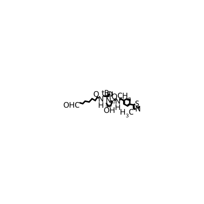 Cc1ncsc1-c1ccc([C@H](C)NC(=O)[C@@H]2C[C@@H](O)CN2C(=O)C(NC(=O)CCCCCCC=O)C(C)(C)C)cc1